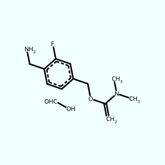 C=C(OCc1ccc(CN)c(F)c1)N(C)C.O=CO